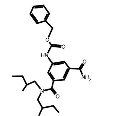 CCC(C)CN(CC(C)CC)C(=O)c1cc(NC(=O)OCc2ccccc2)cc(C(N)=O)c1